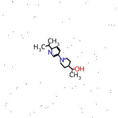 CC(C)c1ccc(N2CCC([C@H](C)O)CC2)cn1